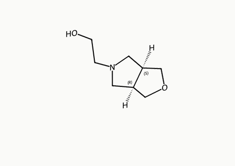 OCCN1C[C@H]2COC[C@H]2C1